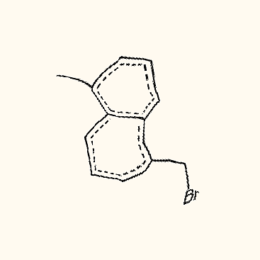 Cc1cccc2c(CBr)cccc12